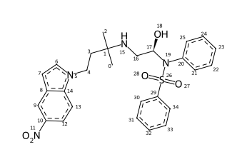 CC(C)(CCn1ccc2cc([N+](=O)[O-])ccc21)NC[C@@H](O)N(c1ccccc1)S(=O)(=O)c1ccccc1